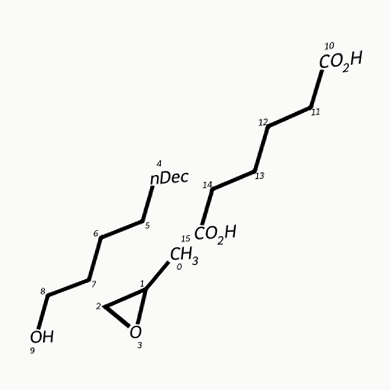 CC1CO1.CCCCCCCCCCCCCCO.O=C(O)CCCCC(=O)O